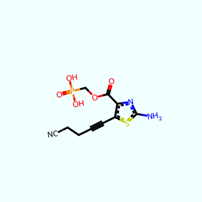 N#CCCC#Cc1sc(N)nc1C(=O)OCP(=O)(O)O